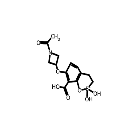 CC(=O)N1CC(Oc2ccc3c(c2C(=O)O)O[B-](O)(O)CC3)C1